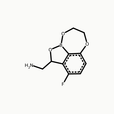 NCC1OB2OCCOc3ccc(F)c1c32